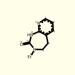 CCN1CCc2cccnc2NC1=O